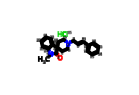 CN1C(=O)C2(CCN(CC=Cc3ccccc3)CC2)c2ccccc21.Cl